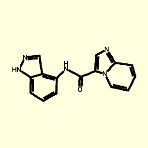 O=C(Nc1cccc2[nH]ncc12)c1cnc2ccccn12